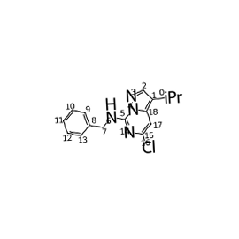 CC(C)c1cnn2c(NCc3ccccc3)nc(Cl)cc12